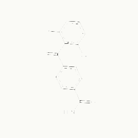 NC(=O)c1ccc(C(=O)c2c(O)cccc2F)cc1